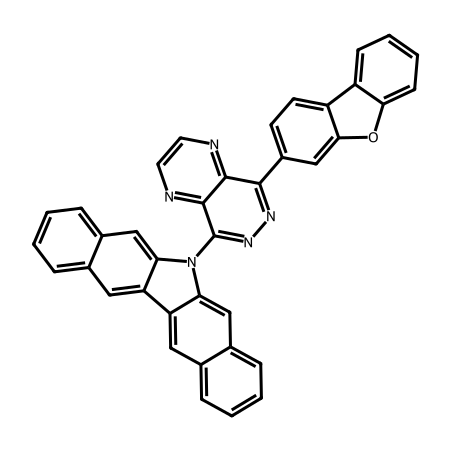 c1ccc2cc3c(cc2c1)c1cc2ccccc2cc1n3-c1nnc(-c2ccc3c(c2)oc2ccccc23)c2nccnc12